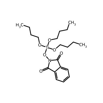 CCCC[O][Ti]([O]CCCC)([O]CCCC)[O]N1C(=O)c2ccccc2C1=O